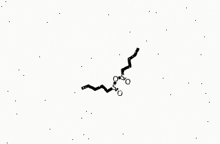 CCCCCS(=O)OS(=O)CCCCC